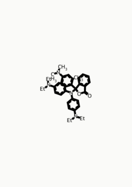 CCN(CC)c1ccc(N(c2ccc(N(CC)CC)cc2)C2(c3ccc(N(C)C)cc3C)OC(=O)c3ccccc32)cc1